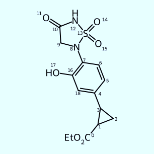 CCOC(=O)C1CC1c1ccc(N2CC(=O)NS2(=O)=O)c(O)c1